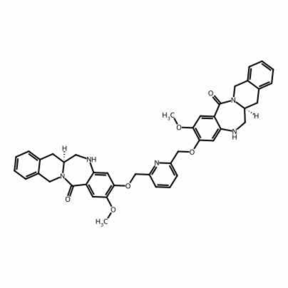 COc1cc2c(cc1OCc1cccc(COc3cc4c(cc3OC)C(=O)N3Cc5ccccc5C[C@H]3CN4)n1)NC[C@@H]1Cc3ccccc3CN1C2=O